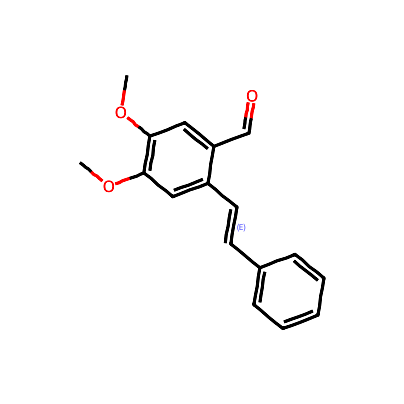 COc1cc(C=O)c(/C=C/c2ccccc2)cc1OC